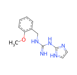 COc1ccccc1CNC(=N)Nc1ncc[nH]1